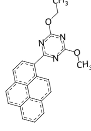 CCOc1nc(OC)nc(-c2ccc3ccc4cccc5ccc2c3c45)n1